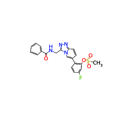 CS(=O)(=O)Oc1cc(F)ccc1-c1ccc2nnc(CNC(=O)c3ccccc3)n2c1